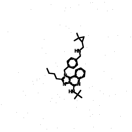 CCCCc1nc2c(NC(C)(C)C)nc3ccccc3c2n1Cc1ccc(CNCC2CC2(C)C)cc1